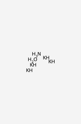 N.O.[KH].[KH].[KH].[KH]